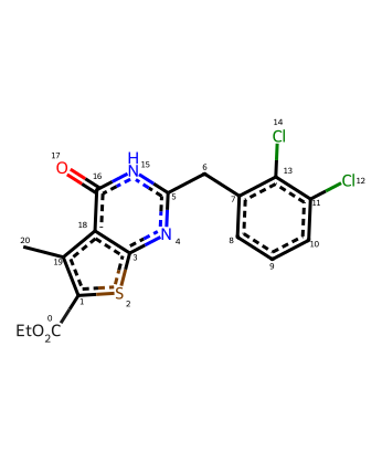 CCOC(=O)c1sc2nc(Cc3cccc(Cl)c3Cl)[nH]c(=O)c2c1C